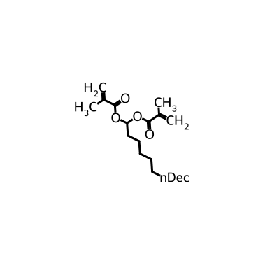 C=C(C)C(=O)OC(CCCCCCCCCCCCCCC)OC(=O)C(=C)C